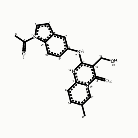 CC(=O)n1ccc2cc(Nc3nc4ccc(C)cn4c(=O)c3CO)ccc21